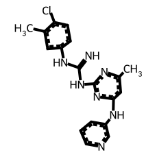 Cc1cc(Nc2cccnc2)nc(NC(=N)Nc2ccc(Cl)c(C)c2)n1